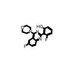 Oc1cccc(F)c1-c1nc(N2CCOCC2)c2cc(F)ccc2n1